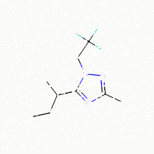 CCC(C)c1nc(C)nn1CC(F)(F)F